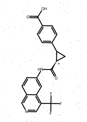 O=C(O)c1ccc(C2C[C@H]2C(=O)Nc2ccc3cncc(C(F)(F)F)c3c2)cc1